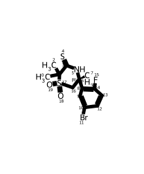 CC1(C)C(=S)N[C@](C)(c2cc(Br)ccc2F)CS1(=O)=O